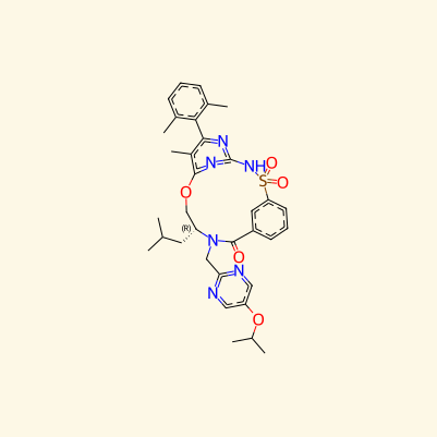 Cc1cccc(C)c1-c1nc2nc(c1C)OC[C@@H](CC(C)C)N(Cc1ncc(OC(C)C)cn1)C(=O)c1cccc(c1)S(=O)(=O)N2